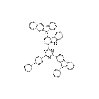 c1ccc(-c2ccc(-c3nc(-c4ccc5c6ccccc6n(-c6ccccc6)c5c4)nc(-c4ccc(-n5c6ccccc6c6cc7ccccc7cc65)c5c4oc4ccccc45)n3)cc2)cc1